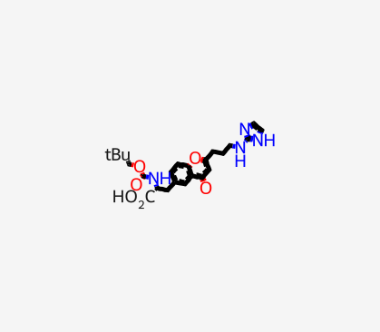 CC(C)(C)COC(=O)N[C@@H](Cc1ccc2oc(CCCNc3ncc[nH]3)cc(=O)c2c1)C(=O)O